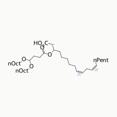 CCCCC/C=C\C/C=C\CCCCCC([CH]C(=O)O)OC(=O)CCC(OCCCCCCCC)OCCCCCCCC